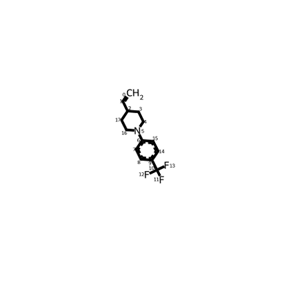 C=CC1CCN(c2ccc(C(F)(F)F)cc2)CC1